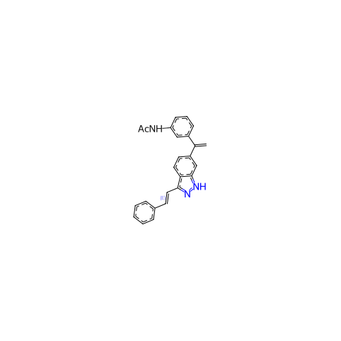 C=C(c1cccc(NC(C)=O)c1)c1ccc2c(/C=C/c3ccccc3)n[nH]c2c1